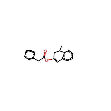 CC1CC(OC(=O)Cc2ccccc2)=Cc2ccccc21